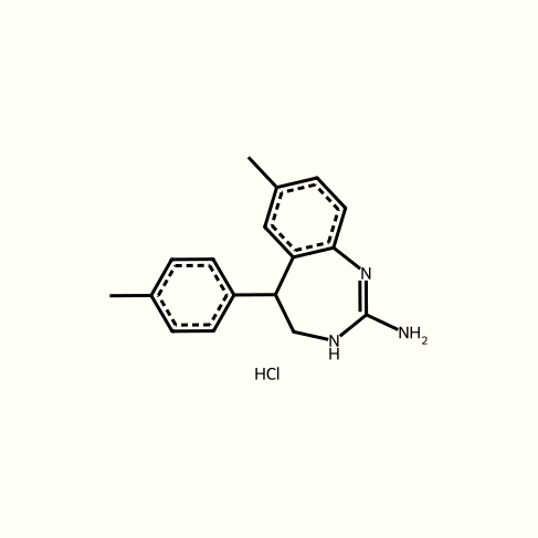 Cc1ccc(C2CNC(N)=Nc3ccc(C)cc32)cc1.Cl